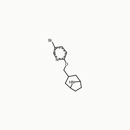 Brc1ccc(OCC2CC3CCC(C2)N3)nc1